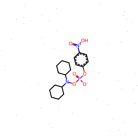 O=[N+](O)c1ccc(OP(=O)([O-])ON(C2CCCCC2)C2CCCCC2)cc1